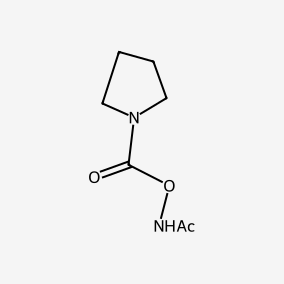 CC(=O)NOC(=O)N1CCCC1